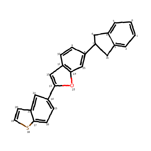 c1ccc2c(c1)CC(c1ccc3cc(-c4ccc5sccc5c4)oc3c1)C2